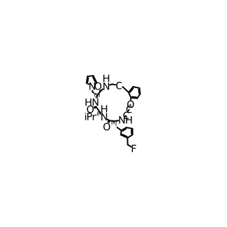 CC(C)[C@H]1NC(=O)[C@@H](Cc2cccc(CF)c2)NCCOc2ccccc2CCCNC(=O)[C@H](Cn2cccc2)NC1=O